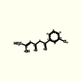 O=C(C=C(O)C(=O)O)CC(=O)c1cccc(Cl)c1